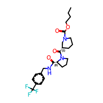 CCCCOC(=O)N1CCC[C@H](C(=O)N2CCC[C@@H]2C(=O)NCc2ccc(C(F)(F)F)cc2)C1